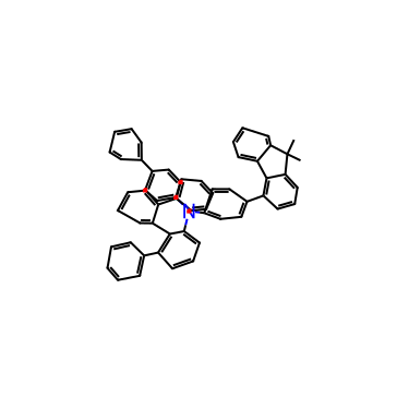 CC1(C)c2ccccc2-c2c(-c3ccc(N(c4ccc(-c5ccccc5)cc4)c4cccc(-c5ccccc5)c4-c4ccccc4-c4ccccc4)cc3)cccc21